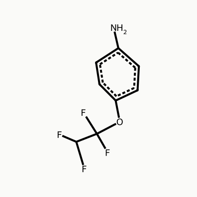 Nc1ccc(OC(F)(F)C(F)F)cc1